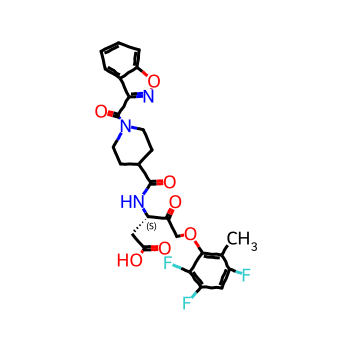 Cc1c(F)cc(F)c(F)c1OCC(=O)[C@H](CC(=O)O)NC(=O)C1CCN(C(=O)c2noc3ccccc23)CC1